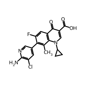 Cc1c(-c2cnc(N)c(Cl)c2)c(F)cc2c(=O)c(C(=O)O)cn(C3CC3)c12